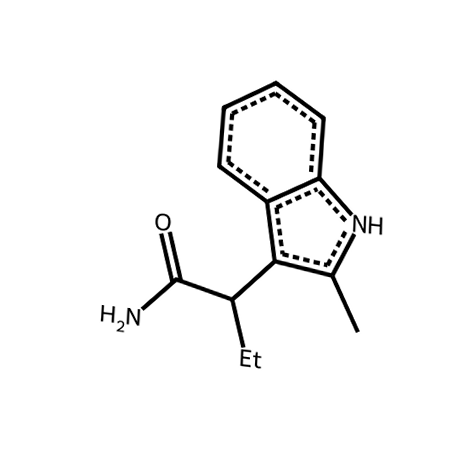 CCC(C(N)=O)c1c(C)[nH]c2ccccc12